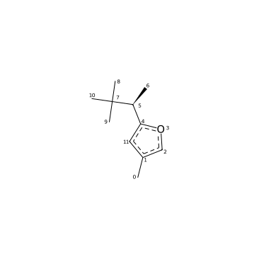 Cc1coc([C@H](C)C(C)(C)C)c1